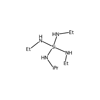 CCN[Si](NCC)(NCC)NC(C)C